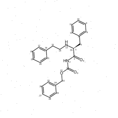 O=C(NC(=O)[C@H](Cc1ccccc1)NCCc1ccccc1)OCc1ccccc1